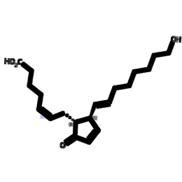 O=C(O)CCC/C=C\C[C@H]1C(=O)C=C[C@@H]1C=CCCCCCCO